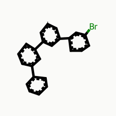 Brc1cccc(-c2c[c]cc(-c3cccc(-c4ccccc4)c3)c2)c1